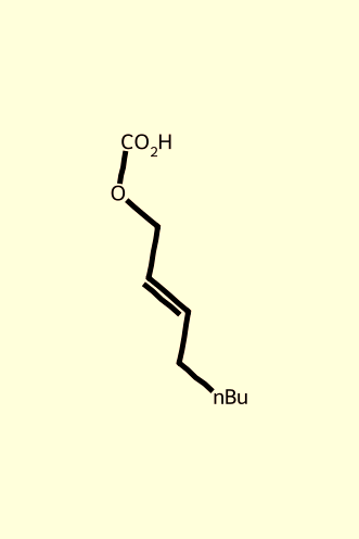 CCCCCC=CCOC(=O)O